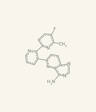 Cc1nc(-c2ncccc2-c2ccc3ncnc(N)c3n2)ccc1F